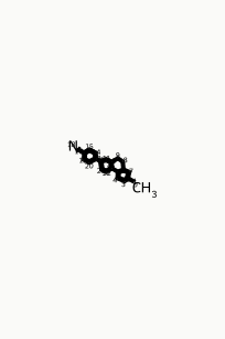 CCc1ccc2c(c1)CCc1cc(-c3ccc(C#N)cc3)ccc1-2